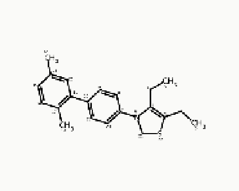 CCC1=C(CC)N(c2ccc(-c3cc(C)ccc3C)cc2)CS1